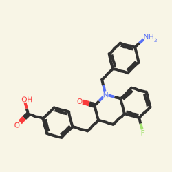 Nc1ccc(CN2C(=O)C(Cc3ccc(C(=O)O)cc3)Cc3c(F)cccc32)cc1